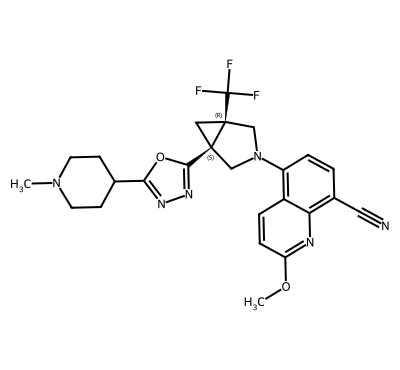 COc1ccc2c(N3C[C@]4(c5nnc(C6CCN(C)CC6)o5)C[C@]4(C(F)(F)F)C3)ccc(C#N)c2n1